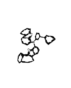 c1ccc(-c2cccc(N(c3cccc4c3oc3ccccc34)c3cccc4c3oc3c5ccccc5ccc43)c2)cc1